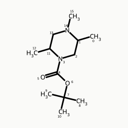 CC1CN(C(=O)OC(C)(C)C)C(C)CN1C